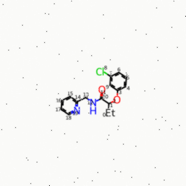 CCC(Oc1cccc(Cl)c1)C(=O)NCc1ccccn1